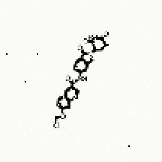 CCOc1ccc2cc(C(=O)Nc3ccc4c(c3)CN(C3CCC(=O)NC3=O)C4=O)ccc2c1